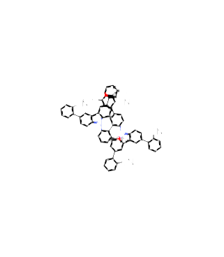 N#Cc1ccccc1-c1ccc2c(c1)c1cc(-c3ccccc3C#N)ccc1n2-c1ccc(-c2cc(C(F)(F)F)cc(C(F)(F)F)c2)cc1-c1c(C#N)cccc1-n1c2ccc(-c3ccccc3C#N)cc2c2cc(-c3ccccc3C#N)ccc21